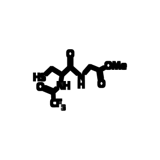 COC(=O)CNC(=O)C(CS)NC(=O)C(F)(F)F